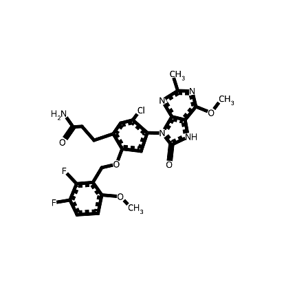 COc1ccc(F)c(F)c1COc1cc(-n2c(=O)[nH]c3c(OC)nc(C)nc32)c(Cl)cc1CCC(N)=O